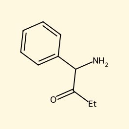 CCC(=O)C(N)c1ccccc1